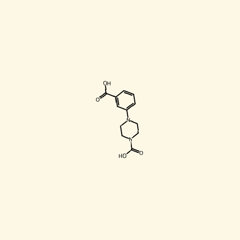 O=C(O)c1cccc(N2CCN(C(=O)O)CC2)c1